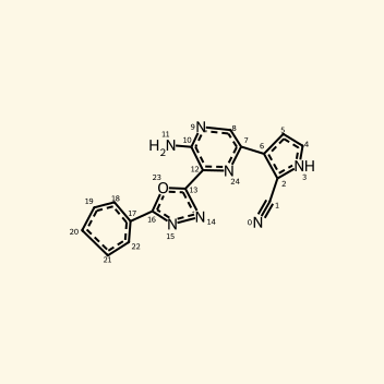 N#Cc1[nH]ccc1-c1cnc(N)c(-c2nnc(-c3ccccc3)o2)n1